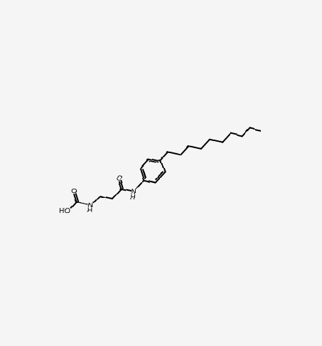 CCCCCCCCCCc1ccc(NC(=O)CCNC(=O)O)cc1